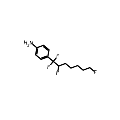 Nc1ccc(C(F)(F)C(F)CCCCCF)cc1